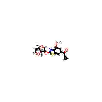 CC(C)Oc1cc(C(=O)C2CC2)cc2sc(OC3CO[C@@H]4CCO[C@H]34)nc12